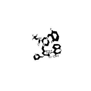 O=C(N[C@H]1c2ccccc2OC[C@H]1O)[C@H](Cc1cccnc1)C[C@H](O)CN1CCN(Cc2c(F)cccc2F)C[C@H]1C(=O)NCC(F)(F)F